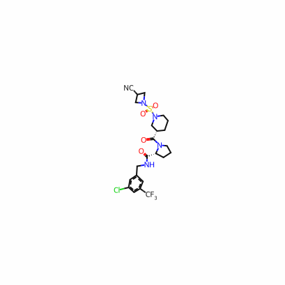 N#CC1CN(S(=O)(=O)N2CCC[C@H](C(=O)N3CCC[C@@H]3C(=O)NCc3cc(Cl)cc(C(F)(F)F)c3)C2)C1